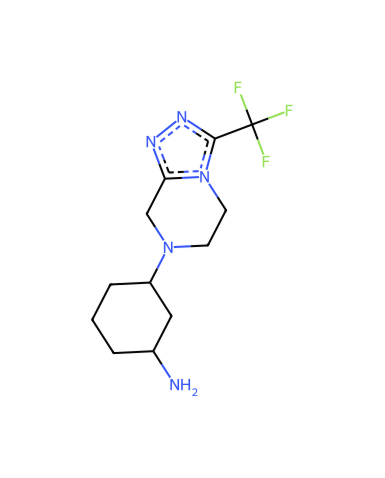 NC1CCCC(N2CCn3c(nnc3C(F)(F)F)C2)C1